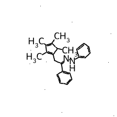 CC1=C(C)C(C)C(CC(=NNc2ccccc2)c2ccccc2)=C1C